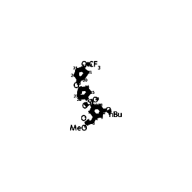 CCCCOc1cc(CC(=O)OC)cc(S(=O)(=O)c2ccc(Oc3ccc(OC(F)(F)F)cc3)cc2)c1